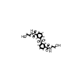 O=S(=O)(NCCO)c1cccc(S(=O)(=O)c2cccc(S(=O)(=O)NCCO)c2)c1